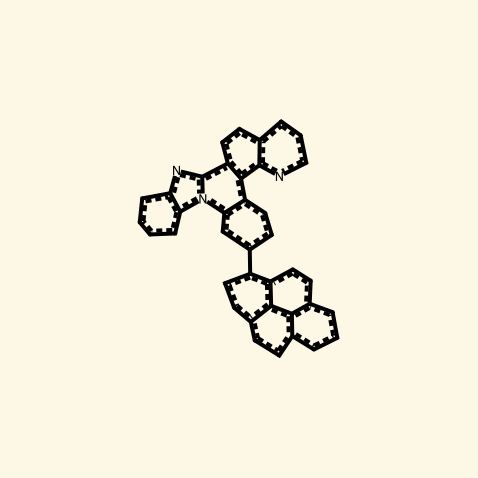 c1cnc2c(c1)ccc1c2c2ccc(-c3ccc4ccc5cccc6ccc3c4c56)cc2n2c3ccccc3nc12